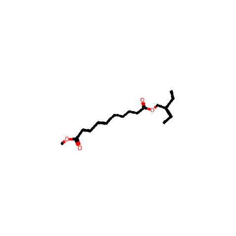 CCC(CC)COC(=O)CCCCCCCCC(=O)OC